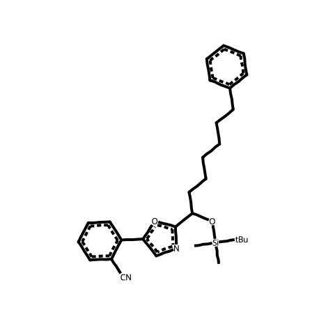 CC(C)(C)[Si](C)(C)OC(CCCCCCc1ccccc1)c1ncc(-c2ccccc2C#N)o1